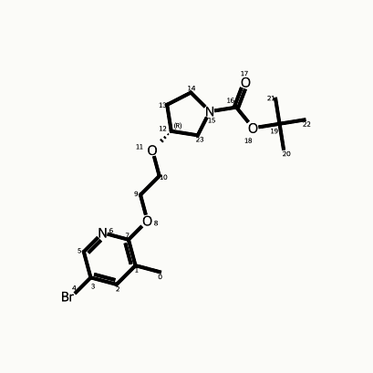 Cc1cc(Br)cnc1OCCO[C@@H]1CCN(C(=O)OC(C)(C)C)C1